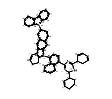 C1=CCC(C2=NC(c3ccc(-n4c5c(c6cc7cc(-n8c9ccccc9c9ccccc98)ccc7cc64)C=CCC5)c4ccccc34)=NC(C3C=CCCC3)N2)C=C1